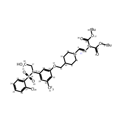 CC(C)(C)OC(=O)N(/N=C/N1CCC(COc2cc(N(CC(=O)O)S(=O)(=O)c3ccccc3Cl)cc(C(F)(F)F)c2)CC1)C(=O)OC(C)(C)C